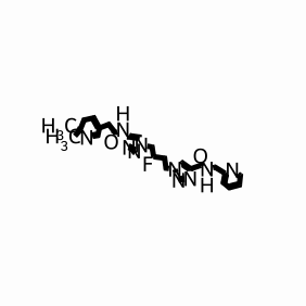 CC1(C)CC=C(CC(=O)Nc2cn(CC(F)CCn3cc(C(=O)NCc4ccccn4)nn3)nn2)C=N1